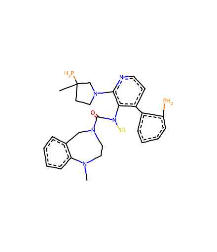 CN1CCN(C(=O)N(S)c2c(-c3ccccc3P)ccnc2N2CCC(C)(P)C2)Cc2ccccc21